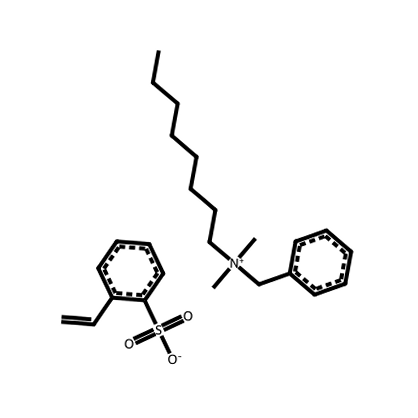 C=Cc1ccccc1S(=O)(=O)[O-].CCCCCCCC[N+](C)(C)Cc1ccccc1